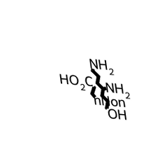 CCCCCCCCCCCC(=O)O.NCCCC(N)CCCO